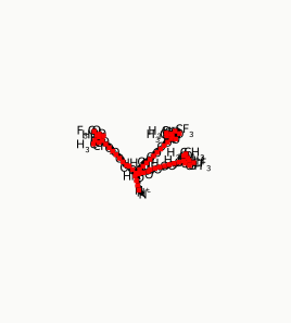 CC1(C)O[C@@H]2[C@@H](NC(=O)C(F)(F)F)[C@H]3OC[C@](COCCOCCOCCOCCNC(=O)CCOCC(COCCC(=O)NCCOCCOCCOCCOC[C@@]45CO[C@@H](O4)[C@H](NC(=O)C(F)(F)F)[C@H]4OC(C)(C)O[C@H]45)(COCCC(=O)NCCOCCOCCOCCOC[C@@]4(C)O[C@H](O)[C@H](NC(=O)C(F)(F)F)[C@H]5OC(C)(C)O[C@H]54)NC(=O)CCCCN=[N+]=[N-])(O3)[C@@H]2O1